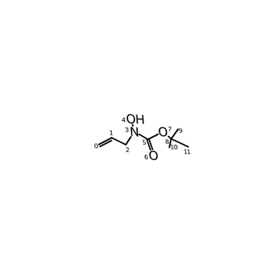 C=CCN(O)C(=O)OC(C)(C)C